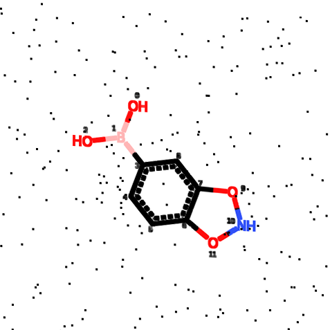 OB(O)c1ccc2c(c1)ONO2